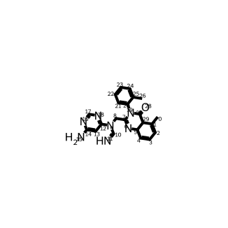 CC1=CC=CC2N=C(CN(C=N)c3cc(N)ncn3)N(c3ccccc3C)C(=O)C12